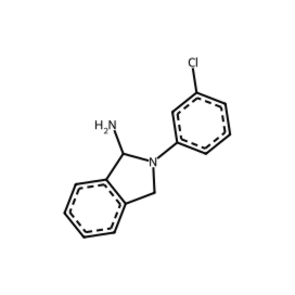 NC1c2ccccc2CN1c1cccc(Cl)c1